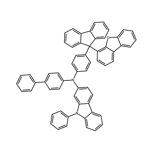 c1ccc(-c2ccc(N(c3ccc(C4(c5cccc6c5oc5ccccc56)c5ccccc5-c5ccccc54)cc3)c3ccc4c5ccccc5n(-c5ccccc5)c4c3)cc2)cc1